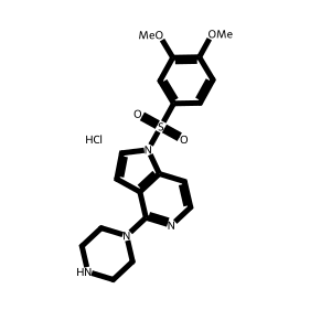 COc1ccc(S(=O)(=O)n2ccc3c(N4CCNCC4)nccc32)cc1OC.Cl